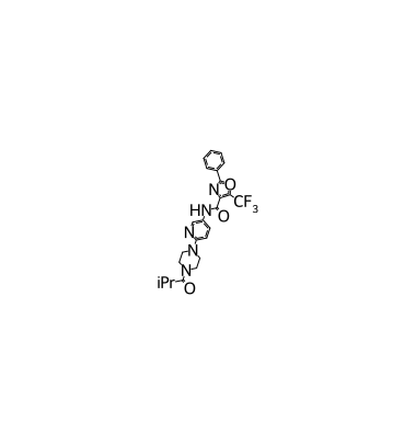 CC(C)C(=O)N1CCN(c2ccc(NC(=O)c3nc(-c4ccccc4)oc3C(F)(F)F)cn2)CC1